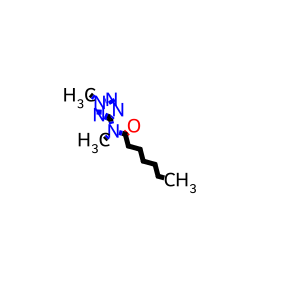 CCCCCCC(=O)N(C)c1nnn(C)n1